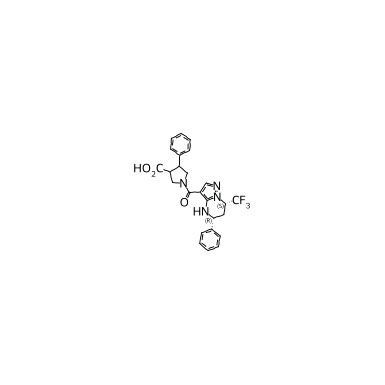 O=C(O)C1CN(C(=O)c2cnn3c2N[C@@H](c2ccccc2)C[C@H]3C(F)(F)F)CC1c1ccccc1